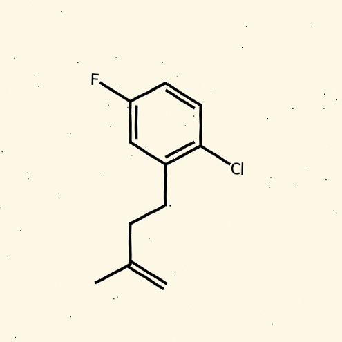 C=C(C)C[CH]c1cc(F)ccc1Cl